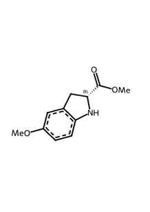 COC(=O)[C@H]1Cc2cc(OC)ccc2N1